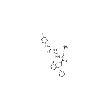 CN(CC(c1ccccc1)c1ccccc1)C(=O)[C@H](CCCN)NCCNC(=O)COc1ccc(F)cc1